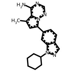 Cc1cc(-c2ccc3cnn(C4CCCCC4)c3c2)n2ncnc(N)c12